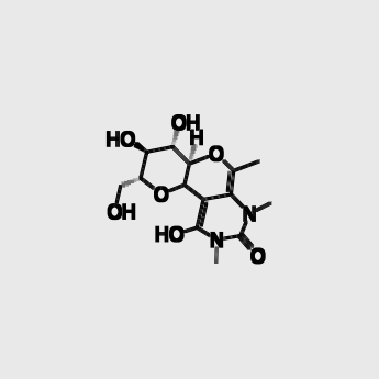 CC1=C2C(=C(O)N(C)C(=O)N2C)C2O[C@H](CO)[C@@H](O)[C@H](O)[C@H]2O1